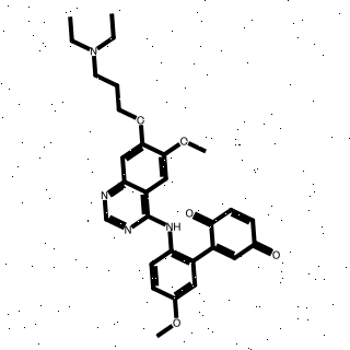 CCN(CC)CCCOc1cc2ncnc(Nc3ccc(OC)cc3C3=CC(=O)C=CC3=O)c2cc1OC